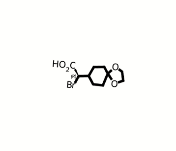 O=C(O)[C@H](Br)C1CCC2(CC1)OCCO2